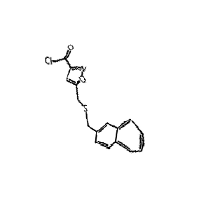 O=C(Cl)c1cc(CSCc2ccc3ccccc3c2)on1